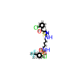 O=C(c1cnc(NCCCCCNS(=O)(=O)c2cc(C(F)(F)F)ccc2Cl)s1)c1ccccc1Cl